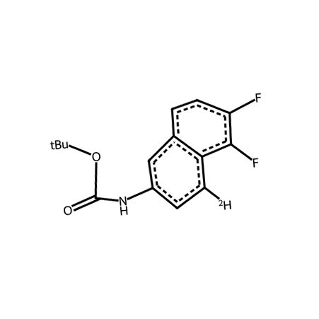 [2H]c1cc(NC(=O)OC(C)(C)C)cc2ccc(F)c(F)c12